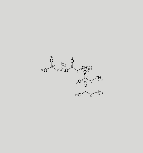 CCC(=O)[O-].CCC(=O)[O-].CCC(=O)[O-].CCC(=O)[O-].[C+4]